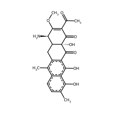 COC1=C(C(C)=O)C(=O)[C@@]2(O)C(=O)c3c(c(C)c4ccc(C)c(O)c4c3O)CC2[C@H]1N